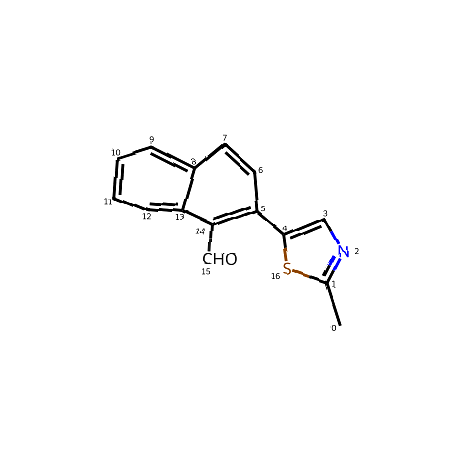 Cc1ncc(-c2ccc3ccccc3c2C=O)s1